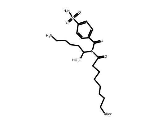 CCCCCCCCCCCCCCCCCC(=O)N(C(=O)c1ccc(S(N)(=O)=O)cc1)C(CCCCN)C(=O)O